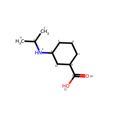 CC(C)NC1CCCC(C(=O)O)C1